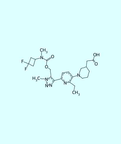 CCc1nc(-c2nnn(C)c2COC(=O)N(C)C2CC(F)(F)C2)ccc1N1CCCC(CC(=O)O)C1